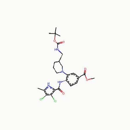 COC(=O)c1ccc(NC(=O)c2[nH]c(C)c(Cl)c2Cl)c(N2CCCC(CNC(=O)OC(C)(C)C)C2)c1